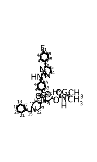 CC(C)(C)NC(=O)OCCN(C1CCN(Cc2ccccc2)CC1)S(=O)(=O)c1ccc(Nc2nccc(-c3ccc(F)cc3)n2)cc1